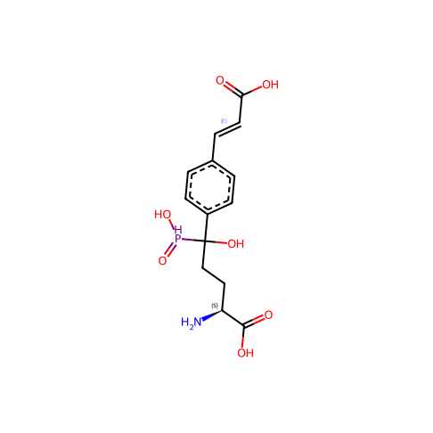 N[C@@H](CCC(O)(c1ccc(/C=C/C(=O)O)cc1)[PH](=O)O)C(=O)O